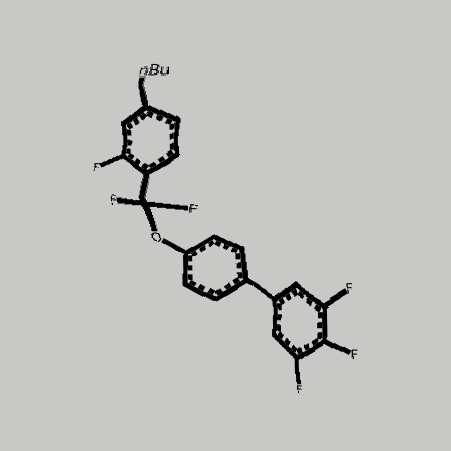 CCCCc1ccc(C(F)(F)Oc2ccc(-c3cc(F)c(F)c(F)c3)cc2)c(F)c1